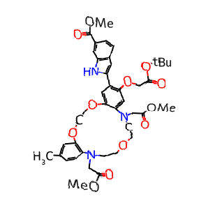 COC(=O)CN1CCOCCN(CC(=O)OC)c2cc(OCC(=O)OC(C)(C)C)c(-c3cc4ccc(C(=O)OC)cc4[nH]3)cc2OCCOc2cc(C)ccc21